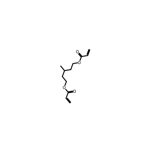 C=CC(=O)OCCC(C)CCOC(=O)C=C